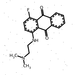 CN(C)CCNc1ccc(F)c2c1C(=O)c1ccccc1C2=O